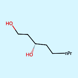 CCCCC[C@H](O)CCO